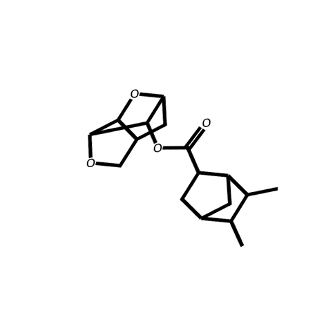 CC1C2CC(C(=O)OC3C4CC5COC3C5O4)C(C2)C1C